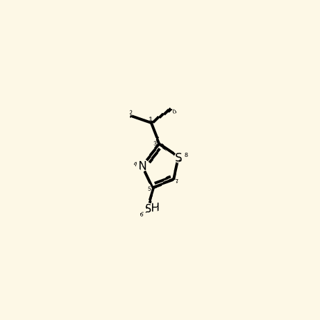 CC(C)c1nc(S)cs1